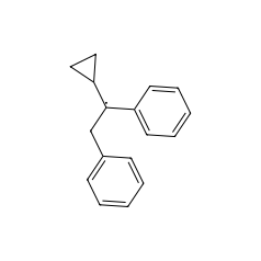 c1ccc(C[C](c2ccccc2)C2CC2)cc1